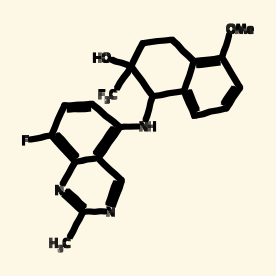 COc1cccc2c1CCC(O)(C(F)(F)F)C2Nc1ccc(F)c2nc(C)ncc12